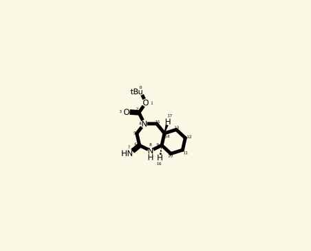 CC(C)(C)OC(=O)N1CC(=N)N[C@@H]2CCCC[C@H]2C1